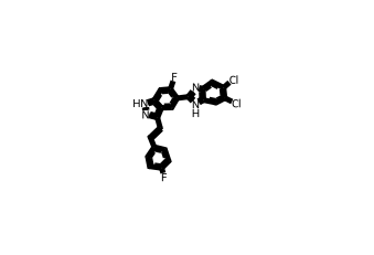 Fc1ccc(C=Cc2n[nH]c3cc(F)c(-c4nc5cc(Cl)c(Cl)cc5[nH]4)cc23)cc1